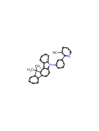 CC1(C)c2ccccc2-c2ccc3c(c21)c1ccccc1n3-c1cccc(-c2ncccc2C#N)c1